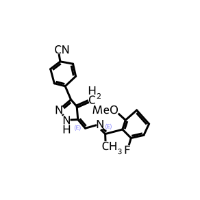 C=c1c(-c2ccc(C#N)cc2)n[nH]/c1=C/N=C(\C)c1c(F)cccc1OC